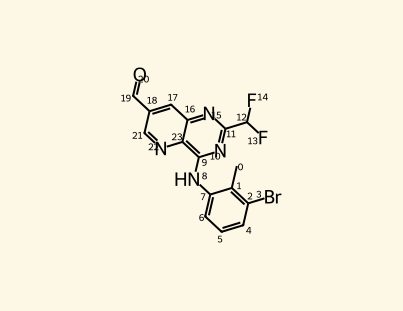 Cc1c(Br)cccc1Nc1nc(C(F)F)nc2cc(C=O)cnc12